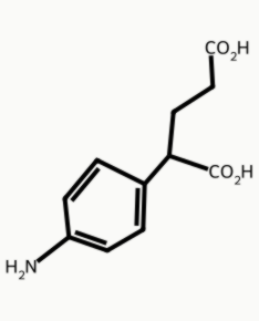 Nc1ccc(C(CCC(=O)O)C(=O)O)cc1